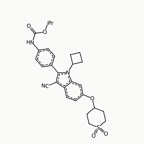 CC(C)OC(=O)Nc1ccc(-c2c(C#N)c3ccc(OC4CCS(=O)(=O)CC4)cc3n2C2CCC2)cc1